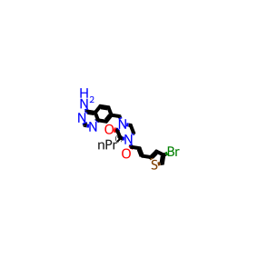 CCC[C@H]1C(=O)N(Cc2ccc3c(N)ncnc3c2)CCN1C(=O)C=Cc1cc(Br)cs1